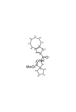 COC(=O)C1(CNC(=O)c2cc3c(s2)CCCCCC3)CCCC1